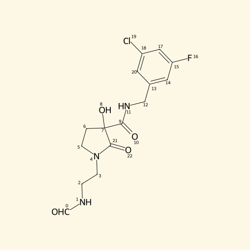 O=CNCCN1CCC(O)(C(=O)NCc2cc(F)cc(Cl)c2)C1=O